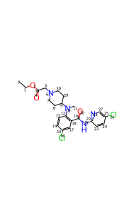 CCOC(=O)CN1CCC(N(C)c2ccc(Cl)cc2C(=O)Nc2ccc(Cl)cn2)CC1